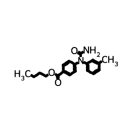 CCCCOC(=O)c1ccc(N(C(N)=O)c2cccc(C)c2)cc1